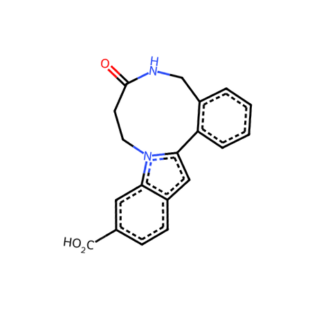 O=C1CCn2c(cc3ccc(C(=O)O)cc32)-c2ccccc2CN1